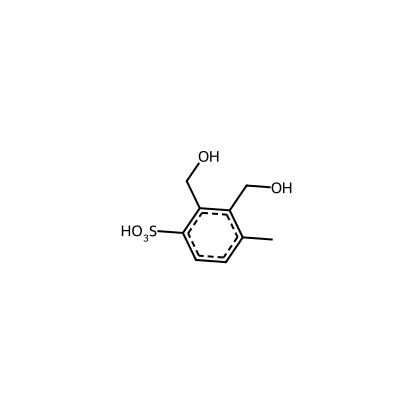 Cc1ccc(S(=O)(=O)O)c(CO)c1CO